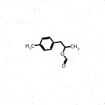 Cc1ccc(CC(C)O[C]=O)cc1